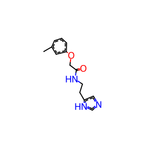 Cc1cccc(OCC(=O)NCCc2cnc[nH]2)c1